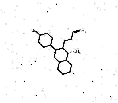 C=CCCC1C(C2CCC(Br)CC2)CC2CCCCC2[C@H]1C